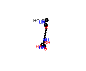 O=C(O)NC(c1ccccc1)c1ccc(OCCCCCCCCCNC[C@H](O)c2ccc(O)c3[nH]c(=O)ccc23)cc1